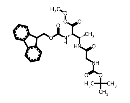 COOC(=O)[C@@H](NC(=O)OCC1c2ccccc2-c2ccccc21)[C@H](C)NC(=O)CNC(=O)OC(C)(C)C